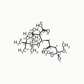 COP(=O)(CC(=O)C[C@@H](O[Si](C)(C)C(C)(C)C)C(C(=O)O)C(C)(C)C)OC